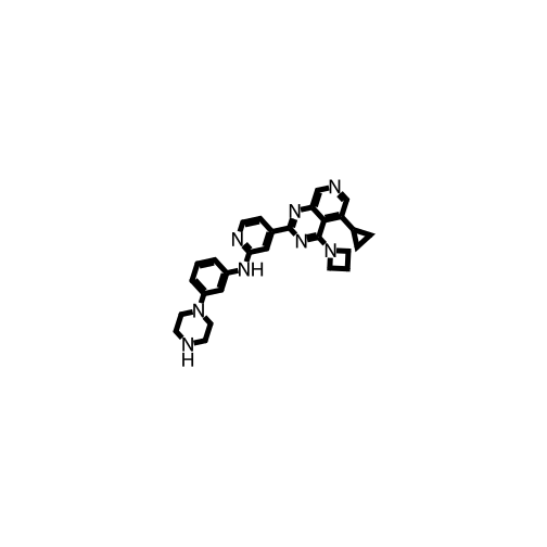 c1cc(Nc2cc(-c3nc(N4CCC4)c4c(C5CC5)cncc4n3)ccn2)cc(N2CCNCC2)c1